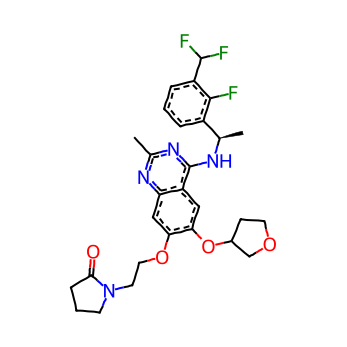 Cc1nc(N[C@H](C)c2cccc(C(F)F)c2F)c2cc(OC3CCOC3)c(OCCN3CCCC3=O)cc2n1